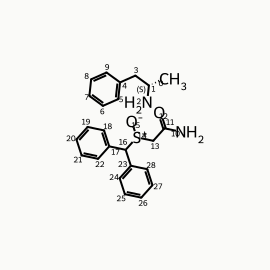 C[C@H](N)Cc1ccccc1.NC(=O)C[S+]([O-])C(c1ccccc1)c1ccccc1